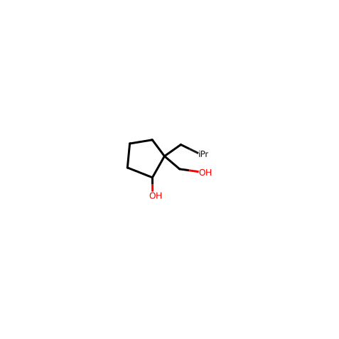 CC(C)CC1(CO)CCCC1O